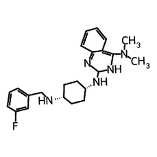 CN(C)C1=c2ccccc2=NC(N[C@H]2CC[C@@H](NCc3cccc(F)c3)CC2)N1